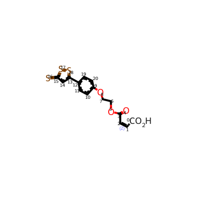 O=C(O)/C=C\C(=O)OCCOc1ccc(-c2cc(=S)ss2)cc1